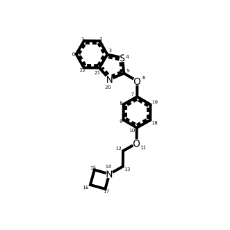 c1ccc2sc(Oc3ccc(OCCN4CCC4)cc3)nc2c1